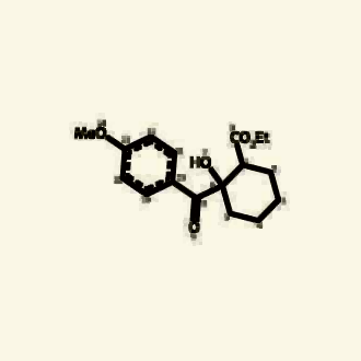 CCOC(=O)C1CCCCC1(O)C(=O)c1ccc(OC)cc1